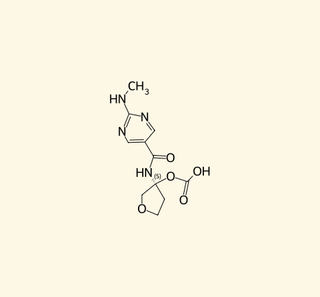 CNc1ncc(C(=O)N[C@]2(OC(=O)O)CCOC2)cn1